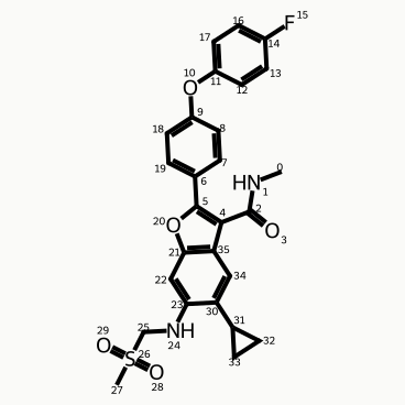 CNC(=O)c1c(-c2ccc(Oc3ccc(F)cc3)cc2)oc2cc(NCS(C)(=O)=O)c(C3CC3)cc12